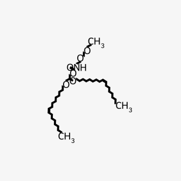 CCCCCCCC/C=C\CCCCCCCCOCC(COC(=O)NCCOCCOCCC)OCCCCCCCC/C=C\CCCCCCCC